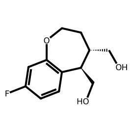 OC[C@H]1CCOc2cc(F)ccc2[C@@H]1CO